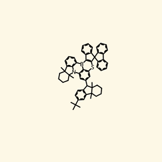 CC(C)(C)c1ccc2c(c1)C1(C)CCCCC1(C)C2c1cc2c3c(c1)N1c4c(cccc4C4(C)CCCCC14C)B3C1=C(S2)C2(c3ccccc31)c1ccccc1-c1ccccc12